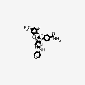 NC(=O)C1CCC(n2c(Nc3c(F)cc(C(F)(F)F)cc3Cl)nc3cnc(NC4CCOCC4)nc32)CC1